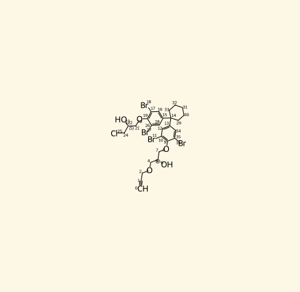 C#CCOC[C@@H](O)COc1c(Br)cc(C2(c3cc(Br)c(OC[C@H](O)CCl)c(Br)c3)CCCCC2)cc1Br